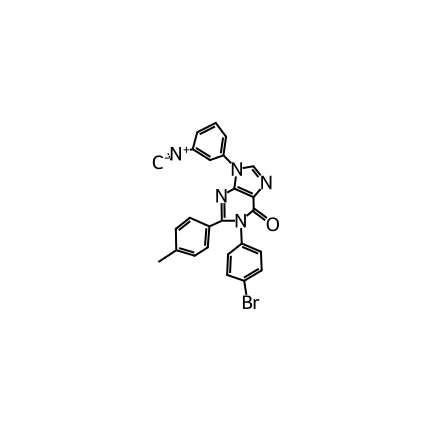 [C-]#[N+]c1cccc(-n2cnc3c(=O)n(-c4ccc(Br)cc4)c(-c4ccc(C)cc4)nc32)c1